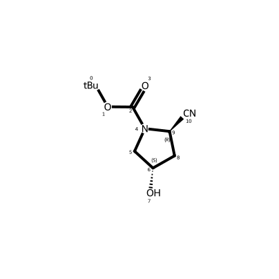 CC(C)(C)OC(=O)N1C[C@@H](O)C[C@@H]1C#N